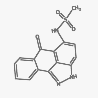 CS(=O)(=O)Nc1ccc2[nH]nc3c2c1C(=O)c1ccccc1-3